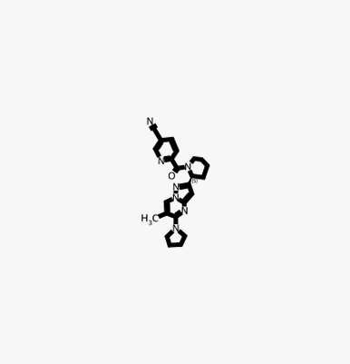 Cc1cn2nc([C@@H]3CCCCN3C(=O)c3ccc(C#N)cn3)cc2nc1N1CCCC1